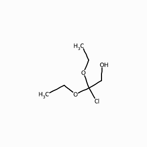 CCOC(Cl)(CO)OCC